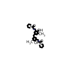 Cc1cc(Cc2cc(C)c(O)c(/C=C/C(=O)N3CCCCC3)c2)cc(/C=C/C(=O)N2CCCCC2)c1O